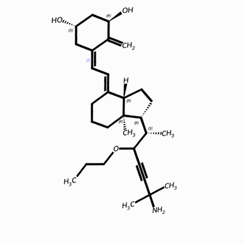 C=C1/C(=C\C=C2CCC[C@]3(C)[C@@H]([C@H](C)C(C#CC(C)(C)N)OCCC)CC[C@@H]23)C[C@H](O)C[C@H]1O